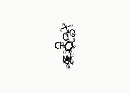 CC(C)(C)C(=O)Oc1ccc(Cn2nccn2)cc1Cl